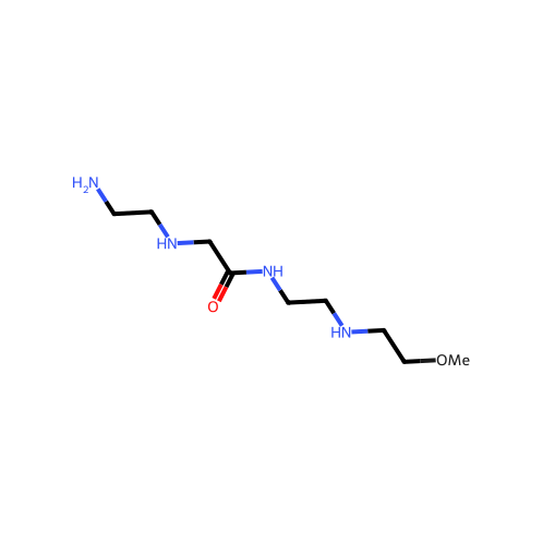 COCCNCCNC(=O)CNCCN